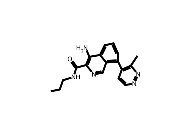 CCCNC(=O)c1ncc2c(-c3ccnnc3C)cccc2c1N